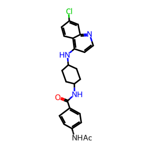 CC(=O)Nc1ccc(C(=O)NC2CCC(Nc3ccnc4cc(Cl)ccc34)CC2)cc1